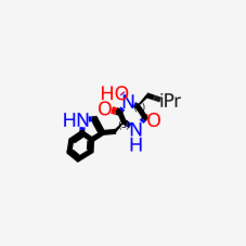 CC(C)C[C@H]1C(=O)N[C@@H](Cc2c[nH]c3ccccc23)C(=O)N1O